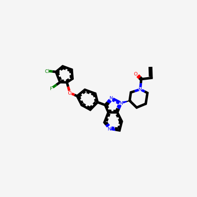 C=CC(=O)N1CCC[C@@H](n2nc(-c3ccc(Oc4cccc(Cl)c4F)cc3)c3cnccc32)C1